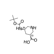 CC(C)(C)OC(=O)N[C@H]1CNC[C@@H](C(=O)O)C1